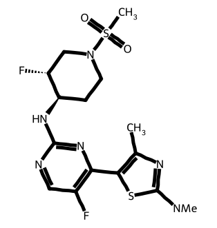 CNc1nc(C)c(-c2nc(N[C@@H]3CCN(S(C)(=O)=O)C[C@H]3F)ncc2F)s1